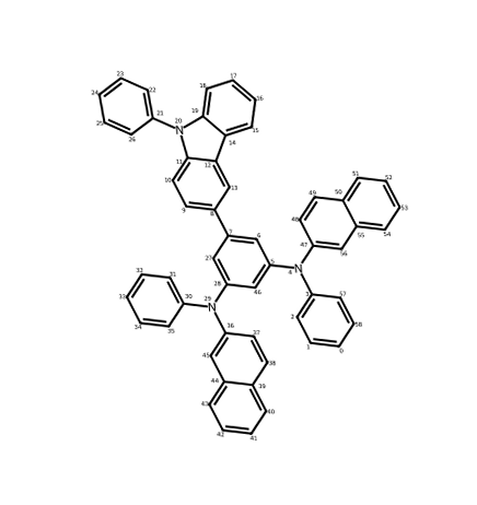 c1ccc(N(c2cc(-c3ccc4c(c3)c3ccccc3n4-c3ccccc3)cc(N(c3ccccc3)c3ccc4ccccc4c3)c2)c2ccc3ccccc3c2)cc1